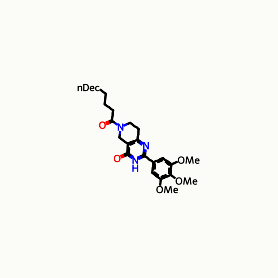 CCCCCCCCCCCCCC(=O)N1CCc2nc(-c3cc(OC)c(OC)c(OC)c3)[nH]c(=O)c2C1